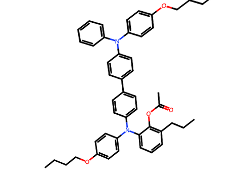 CCCCOc1ccc(N(c2ccccc2)c2ccc(-c3ccc(N(c4ccc(OCCCC)cc4)c4cccc(CCC)c4OC(C)=O)cc3)cc2)cc1